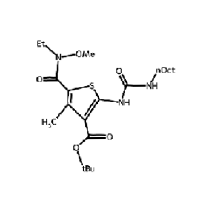 CCCCCCCCNC(=O)Nc1sc(C(=O)N(CC)OC)c(C)c1C(=O)OC(C)(C)C